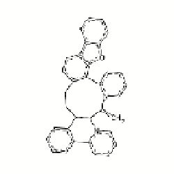 C=C1C2C(CCc3ccc4c(oc5ccccc54)c3-c3cccc[n+]31)c1ccccc1-c1cccc[n+]12